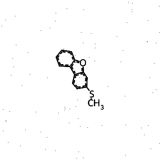 CSc1ccc2c(c1)oc1ccccc12